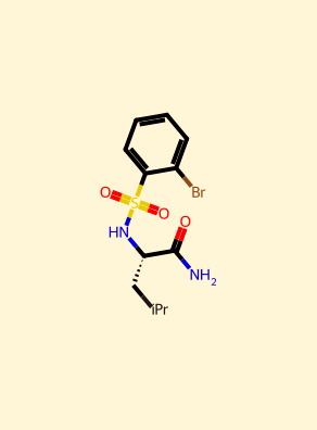 CC(C)C[C@H](NS(=O)(=O)c1ccccc1Br)C(N)=O